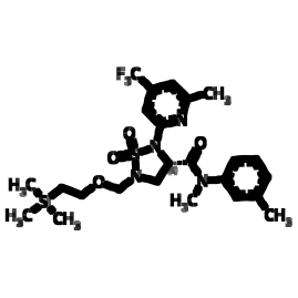 Cc1cccc(N(C)C(=O)[C@@H]2CN(COCC[Si](C)(C)C)S(=O)(=O)N2c2cc(C(F)(F)F)cc(C)n2)c1